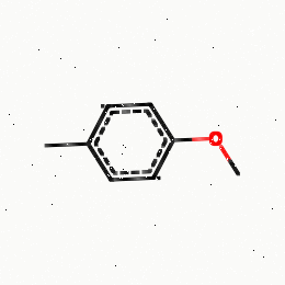 COc1[c]cc(C)[c]c1